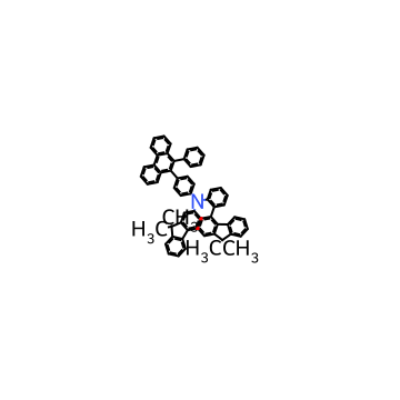 CC1(C)c2ccccc2-c2ccc(N(c3ccc(-c4c(-c5ccccc5)c5ccccc5c5ccccc45)cc3)c3ccccc3-c3cccc4c3-c3ccccc3C4(C)C)cc21